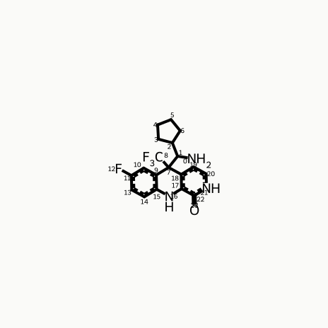 NC(C1CCCC1)C1(C(F)(F)F)c2cc(F)ccc2Nc2c1cc[nH]c2=O